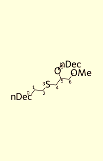 CCCCCCCCCCCCSCC(COC)OCCCCCCCCCC